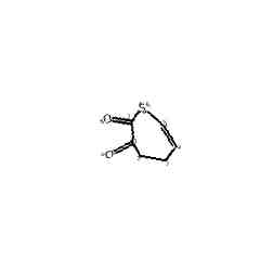 O=C1CCC=CSC1=O